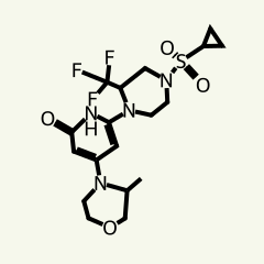 CC1COCCN1c1cc(N2CCN(S(=O)(=O)C3CC3)CC2C(F)(F)F)[nH]c(=O)c1